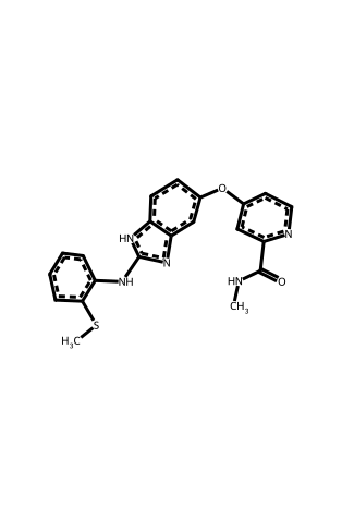 CNC(=O)c1cc(Oc2ccc3[nH]c(Nc4ccccc4SC)nc3c2)ccn1